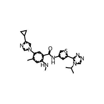 CNc1cc(C)c(-n2cnc(C3CC3)c2)cc1C(=O)Nc1csc(-c2nncn2C(C)C)c1